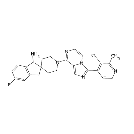 Cc1nccc(-c2ncc3c(N4CCC5(CC4)Cc4cc(F)ccc4C5N)nccn23)c1Cl